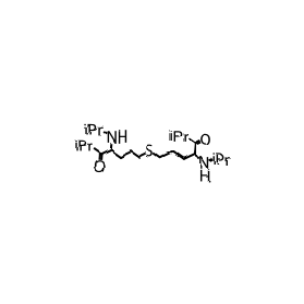 CC(C)NC(CCCSCCCC(NC(C)C)C(=O)C(C)C)C(=O)C(C)C